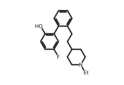 CCN1CCC(CCc2ccccc2-c2cc(F)ccc2O)CC1